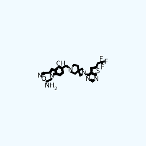 Cc1c(CN2CCC3(CC2)CN(c2ncnc4sc(CC(F)(F)F)cc24)C3)ccc2c1cc(C#N)n2CC(N)=O